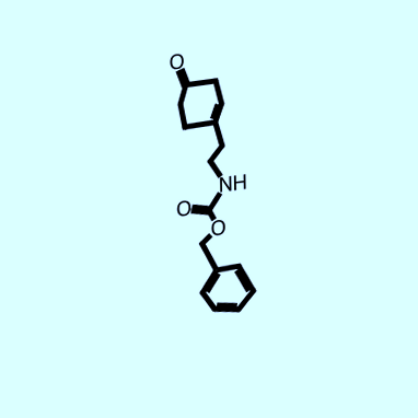 O=C1CC=C(CCNC(=O)OCc2ccccc2)CC1